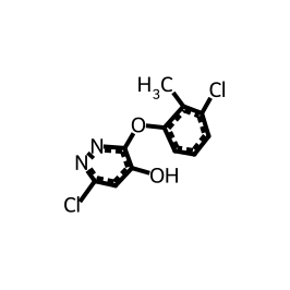 Cc1c(Cl)cccc1Oc1nnc(Cl)cc1O